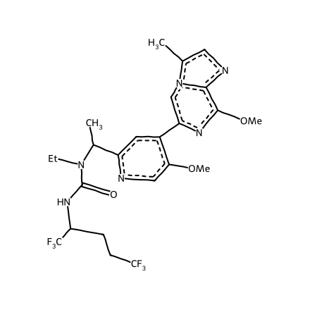 CCN(C(=O)NC(CCC(F)(F)F)C(F)(F)F)C(C)c1cc(-c2cn3c(C)cnc3c(OC)n2)c(OC)cn1